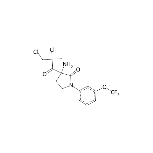 CC(Cl)(CCl)C(=O)C1(N)CCN(c2cccc(OC(F)(F)F)c2)C1=O